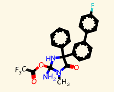 CN1C(=O)C(c2ccccc2)(c2cccc(-c3ccc(F)cc3)c2)NC1(N)OC(=O)C(F)(F)F